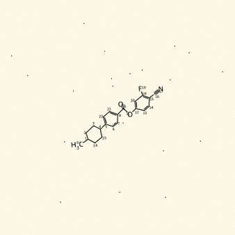 CC1CCC(c2ccc(C(=O)Oc3ccc(C#N)c(F)c3)cc2)CC1